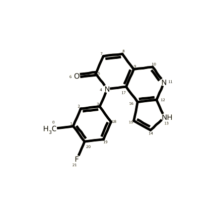 Cc1cc(-n2c(=O)ccc3cnc4[nH]ccc4c32)ccc1F